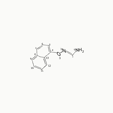 NC=NOc1cccc2ccccc12